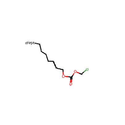 CCCCCCCCCCCCCCOC(=O)OCCl